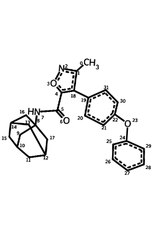 Cc1noc(C(=O)NC23CC4CC(CC(C4)C2)C3)c1-c1ccc(Oc2ccccc2)cc1